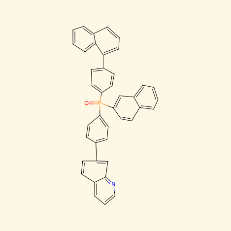 O=P(c1ccc(-c2ccc3cccnc3c2)cc1)(c1ccc(-c2cccc3ccccc23)cc1)c1ccc2ccccc2c1